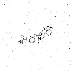 C[C@@H](c1ccc(C(C)(C)C(=O)N(C)C)cc1)N1CC[C@](CC(C)(C)O)(c2ccccc2)OC1=O